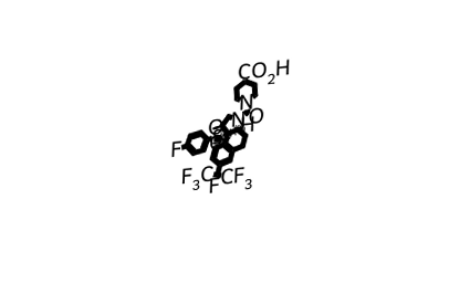 O=C(O)C1CCN(C(=O)N2CC[C@@]3(S(=O)(=O)c4ccc(F)cc4)c4ccc(C(F)(C(F)(F)F)C(F)(F)F)cc4CC[C@@H]23)CC1